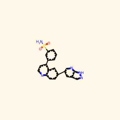 NS(=O)(=O)c1cccc(-c2ccnc3ccc(-c4cnc5[nH]ncc5c4)cc23)c1